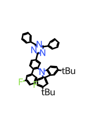 CC(C)(C)c1ccc2c(c1)c1cc(C(C)(C)C)ccc1n2-c1cc(-c2nc(-c3ccccc3)nc(-c3ccccc3)n2)ccc1-c1cc(F)cc(F)c1